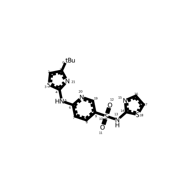 CC(C)(C)c1csc(Nc2ccc(S(=O)(=O)Nc3nccs3)cn2)n1